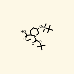 CC[C@]1(C(=O)O)CC[C@@H](O[Si](C)(C)C(C)(C)C)CN1C(=O)OC(C)(C)C